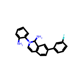 Nc1ccccc1N1C=Cc2ccc(-c3cccc(F)c3)cc2C1N